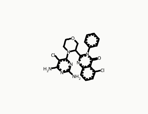 Nc1nc(N)c(Cl)c(N2CCOCC2c2nc3cccc(Cl)c3c(=O)n2-c2ccccc2)n1